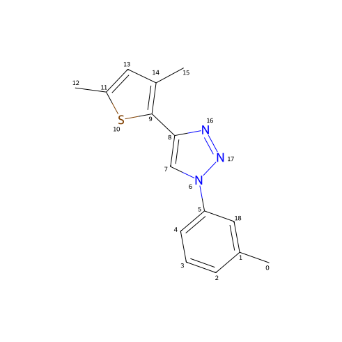 Cc1cccc(-n2cc(-c3sc(C)cc3C)nn2)c1